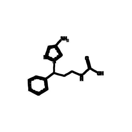 Nc1cnn(C(CCNC(=O)O)c2ccccc2)c1